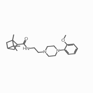 COc1ccccc1N1CCN(CCNC(=O)C2CC3CC2(C)C3(C)C)CC1